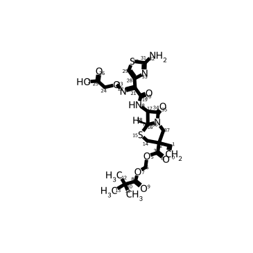 C=CC1(C(=O)OCOC(=O)C(C)(C)C)CS[C@@H]2C(NC(=O)C(=NOCC(=O)O)c3csc(N)n3)C(=O)N2C1